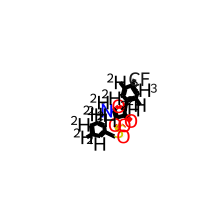 [2H]c1c([2H])c([2H])c(CS(=O)(=O)OC2=C(N([2H])[2H])OC([2H])(c3c([2H])c([2H])c(C(F)(F)F)c([2H])c3[2H])C2=O)c([2H])c1[2H]